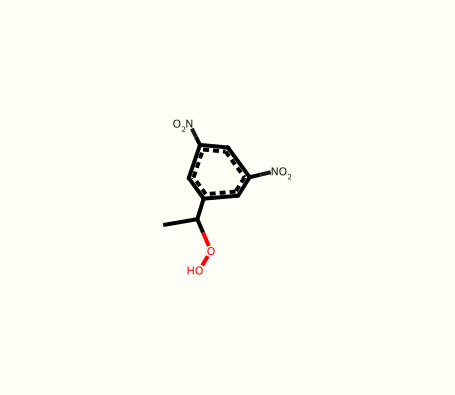 CC(OO)c1cc([N+](=O)[O-])cc([N+](=O)[O-])c1